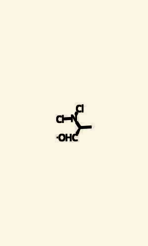 C[C@@H]([C]=O)N(Cl)Cl